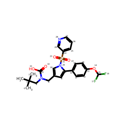 CC(C)(C)CN(Cc1cc(-c2ccc(OC(F)F)cc2)n(S(=O)(=O)c2cccnc2)c1)C(=O)O